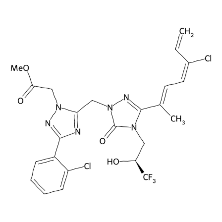 C=C/C(Cl)=C\C=C(/C)c1nn(Cc2nc(-c3ccccc3Cl)nn2CC(=O)OC)c(=O)n1C[C@H](O)C(F)(F)F